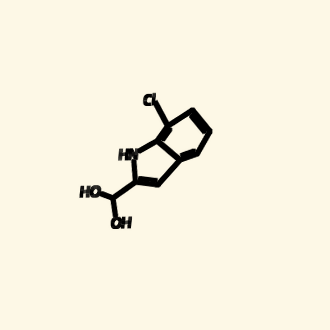 OC(O)c1cc2cccc(Cl)c2[nH]1